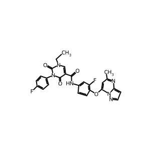 CCn1cc(C(=O)Nc2ccc(Oc3cc(C)nc4ccnn34)c(F)c2)c(=O)n(-c2ccc(F)cc2)c1=O